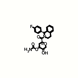 NC(=O)O[C@H]1C[C@@H](C(=O)N2CCc3ccccc3[C@@H]2c2ccc(F)cc2)OC[C@@H]1O